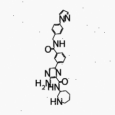 Nc1ncc(-c2cccc(C(=O)NCc3ccc(-n4cccn4)cc3)c2)nc1C(=O)N[C@H]1CCCCNC1